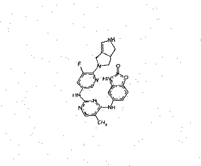 Cc1cnc(Nc2cnc(N3CC4=CNCC4C3)c(F)c2)nc1Nc1ccc2oc(=O)[nH]c2c1